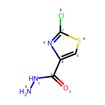 NNC(=O)c1csc(Cl)n1